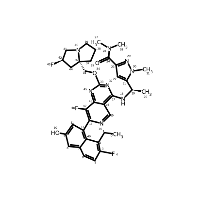 CCc1c(F)ccc2cc(O)cc(-c3ncc4c(N[C@H](C)c5cc(C(=O)N(C)C)nn5C)nc(OC[C@@]56CCCN5C[C@H](F)C6)nc4c3F)c12